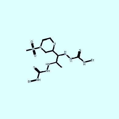 CCNC(=S)NNC(C)C(NNC(=S)NCC)C1CN(S(C)(=O)=O)CCO1